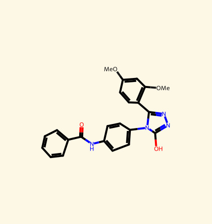 COc1ccc(-c2nnc(O)n2-c2ccc(NC(=O)c3ccccc3)cc2)c(OC)c1